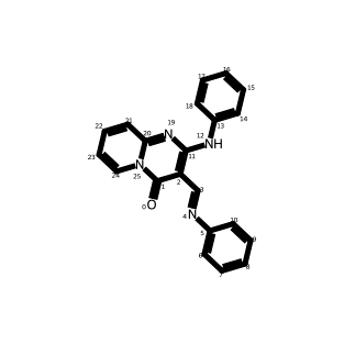 O=c1c(C=Nc2ccccc2)c(Nc2ccccc2)nc2ccccn12